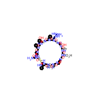 CC(C)[C@@H]1NC(=O)[C@H](CC(=O)O)NC(=O)[C@H](C)N(C)C(=O)[C@@H]2CCCN2C(=O)[C@H](CC(=O)O)NC(=O)CNC(=O)[C@@H](Cc2c[nH]c3ccccc23)NC(=O)CSC[C@@H](C(=O)NCC(N)=O)NC(=O)[C@@H]2CCCN2C(=O)[C@H](Cc2ccccc2)N(C)C(=O)[C@H](Cc2ccc(O)cc2)NC(=O)CN(C)C(=O)[C@H](Cc2ccccc2)N(C)C(=O)[C@H](CCCNC(=N)N)NC(=O)CNC(=O)[C@H](CO)N(C)C1=O